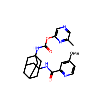 COc1ccnc(C(=O)NC23CC4CC(CC(NC(=O)Oc5cncc(C)n5)(C4)C2)C3)c1